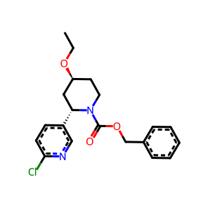 CCO[C@H]1CCN(C(=O)OCc2ccccc2)[C@H](c2ccc(Cl)nc2)C1